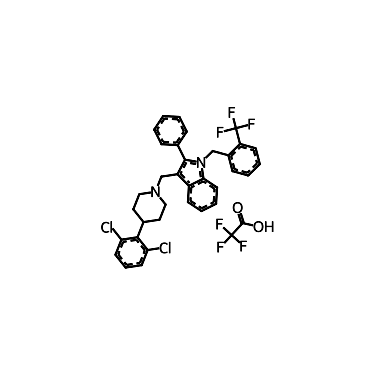 FC(F)(F)c1ccccc1Cn1c(-c2ccccc2)c(CN2CCC(c3c(Cl)cccc3Cl)CC2)c2ccccc21.O=C(O)C(F)(F)F